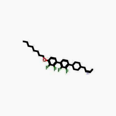 C/C=C\CC1CCC(c2ccc(-c3ccc(OCCCCCCCC)c(F)c3F)c(F)c2F)CC1